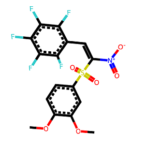 COc1ccc(S(=O)(=O)C(=Cc2c(F)c(F)c(F)c(F)c2F)[N+](=O)[O-])cc1OC